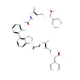 Cc1nc(C(=O)Nc2cccc(-c3cccc4c3CCN4C(=O)c3nc(C)c(CN[C@H](C(=O)O)C4CCOCC4)s3)c2Cl)sc1CN[C@H](C(=O)O)C1CCOCC1